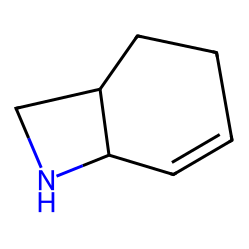 C1=CC2NCC2CC1